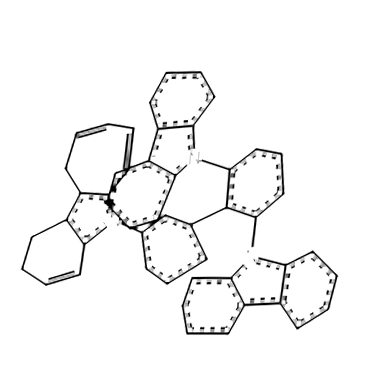 C1=CCc2c3c(n(-c4cccc(-c5c(-n6c7ccccc7c7ccccc76)cccc5-n5c6ccccc6c6ccccc65)c4)c2C=C1)C=CCC3